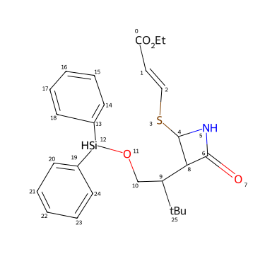 CCOC(=O)C=CSC1NC(=O)C1C(CO[SiH](c1ccccc1)c1ccccc1)C(C)(C)C